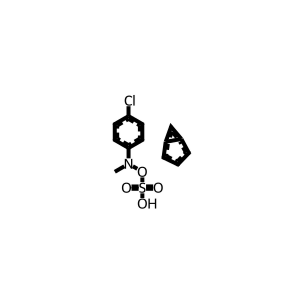 CN(OS(=O)(=O)O)c1ccc(Cl)cc1.c1cc2cc-2c1